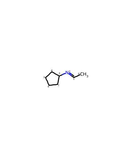 C/C=N/C1CCCC1